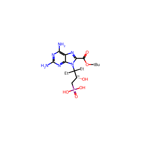 CCC(CC)([C@H](O)CP(=O)(O)O)n1c(C(=O)OC(C)(C)C)nc2c(N)nc(N)nc21